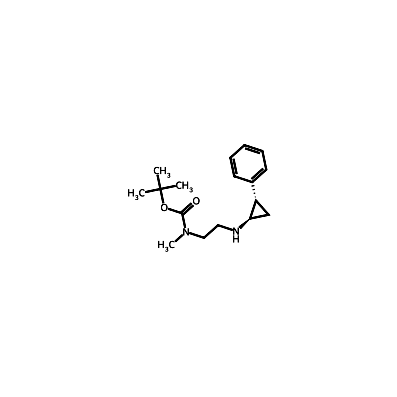 CN(CCN[C@@H]1C[C@H]1c1ccccc1)C(=O)OC(C)(C)C